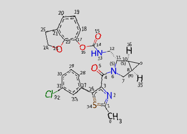 Cc1nc(C(=O)N2C[C@@H]3C[C@@H]3[C@H]2CNC(=O)Oc2cccc3c2OCC3)c(-c2cccc(Cl)c2)s1